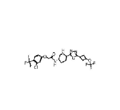 O=C(COc1ccc(C(F)(F)F)c(Cl)c1)N[C@H]1CC[C@H](c2nnc(C3CC(OC(F)(F)F)C3)o2)NC1